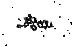 CN(C)CC(=O)N(C)c1ccc(N/C(=C2\C(=O)Nc3cc(Cl)ccc32)c2cccs2)cc1F